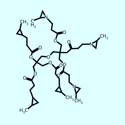 CC1CC1CCC(=O)OCC(COCC(COC(=O)CCN1CC1C)(COC(=O)CCN1CC1C)CC(=O)CCN1CC1C)(COC(=O)CCC1CC1C)OC(=O)CCC1CC1C